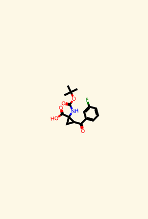 CC(C)(C)OC(=O)NC1(C(=O)O)CC1C(=O)c1cccc(F)c1